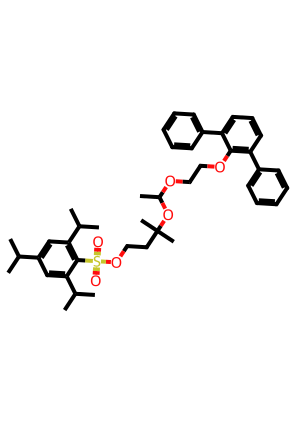 CC(OCCOc1c(-c2ccccc2)cccc1-c1ccccc1)OC(C)(C)CCOS(=O)(=O)c1c(C(C)C)cc(C(C)C)cc1C(C)C